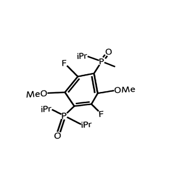 COc1c(F)c(P(=O)(C(C)C)C(C)C)c(OC)c(F)c1P(C)(=O)C(C)C